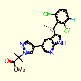 COC(=O)C(C)(C)n1cc(-c2cnc3[nH]cc([C@H](C)c4c(Cl)ccc(F)c4Cl)c3c2)cn1